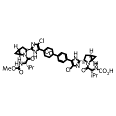 COC(=O)N[C@H](C(=O)N1[C@@H]2C[C@@H]2C[C@H]1c1nc(Cl)c(C23CCC(c4ccc(-c5[nH]c([C@@H]6C[C@H]7C[C@H]7N6C(=O)[C@@H](NC(=O)O)C(C)C)nc5Cl)cc4)(CC2)CC3)[nH]1)C(C)C